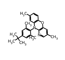 Cc1cnc2c(c1)Oc1ccc(C)cc1N2c1c(C)cc(C(C)(C)C)cc1C